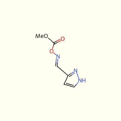 COC(=O)ON=Cc1cc[nH]n1